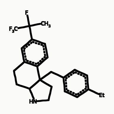 CCc1ccc(CC23CCNC2CCc2cc(C(C)(F)C(F)(F)F)ccc23)cc1